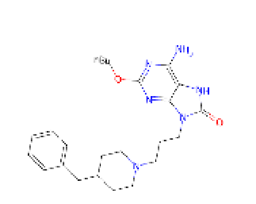 CCCCOc1nc(N)c2[nH]c(=O)n(CCCN3CCC(Cc4ccccc4)CC3)c2n1